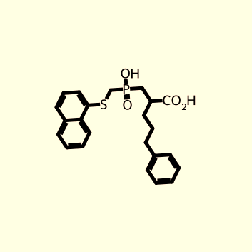 O=C(O)C(CCCc1ccccc1)CP(=O)(O)CSc1cccc2ccccc12